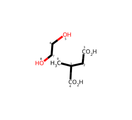 CC(CC(=O)O)C(=O)O.OCCO